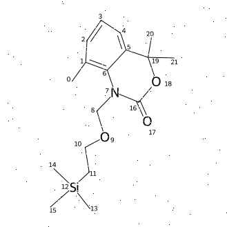 Cc1cccc2c1N(COCC[Si](C)(C)C)C(=O)OC2(C)C